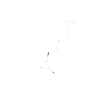 CC1(C)[C@H](C(=O)O)[C@@H]1C=C(F)C(=O)OC1CC1